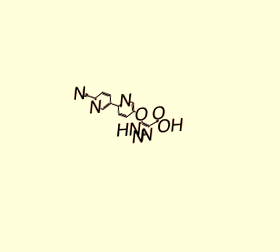 N#Cc1ccc(-c2ccc(Oc3[nH]nnc3C(=O)O)cn2)cn1